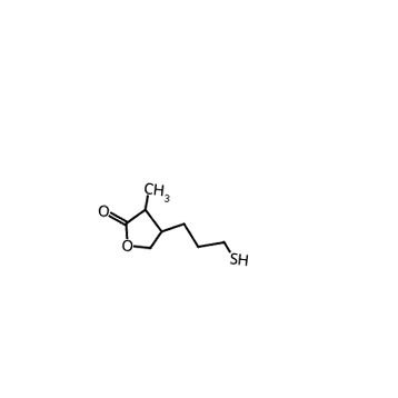 CC1C(=O)OCC1CCCS